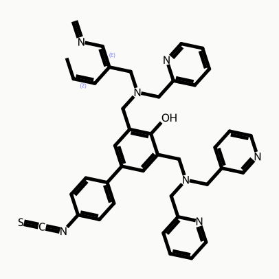 C=N/C=C(\C=C/C)CN(Cc1ccccn1)Cc1cc(-c2ccc(N=C=S)cc2)cc(CN(Cc2cccnc2)Cc2ccccn2)c1O